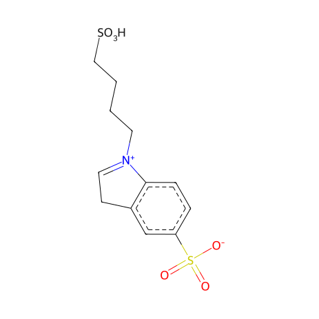 O=S(=O)(O)CCCC[N+]1=CCc2cc(S(=O)(=O)[O-])ccc21